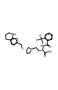 O=C(N[C@H](CCN1CC[C@H](CCc2ccc3c(n2)NCCC3)C1)C(=O)O)c1ccccc1C(F)(F)F